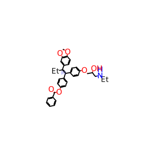 CCNCC(O)COc1ccc(/C(=C(/CC)c2ccc3c(c2)OCO3)c2ccc(OC(=O)c3ccccc3)cc2)cc1